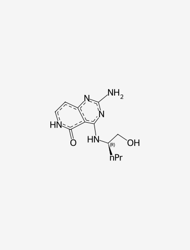 CCC[C@H](CO)Nc1nc(N)nc2cc[nH]c(=O)c12